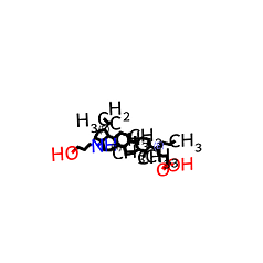 C=C(C)[C@@H]1CCC2(NCCCO)CC[C@]3(C)C(CCC4C5(C)CC=C(/C(=C/CC)CCC(=O)O)C(C)(C)C5CCC43C)C12